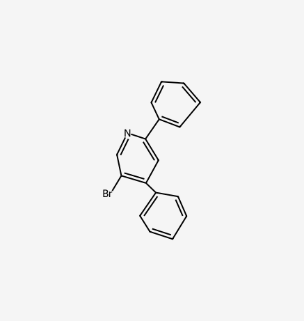 Brc1cnc(-c2ccccc2)cc1-c1ccccc1